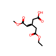 CCOC(=O)CC(=CC(=O)OC)CC(=O)O